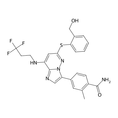 Cc1cc(-c2cnc3c(NCCC(F)(F)F)cc(Sc4ccccc4CO)nn23)ccc1C(N)=O